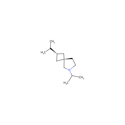 CC(C)N1CC[C@]2(C1)C[C@H](C(C)C)C2